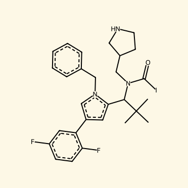 CC(C)(C)C(c1cc(-c2cc(F)ccc2F)cn1Cc1ccccc1)N(CC1CCNC1)C(=O)I